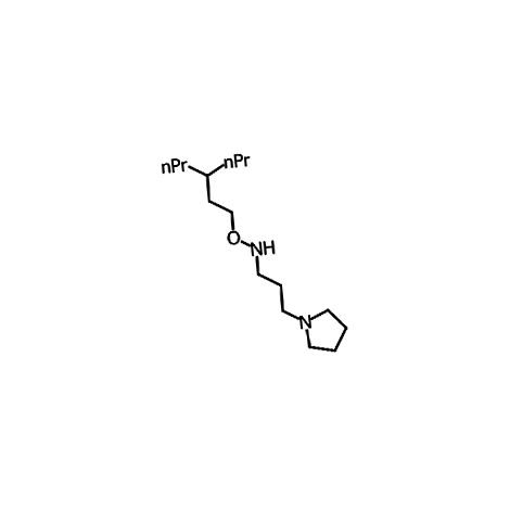 CCCC(CCC)CCONCCCN1CCCC1